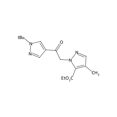 CCOC(=O)c1c(C)cnn1CC(=O)c1cnn(C(C)(C)C)c1